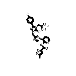 Cc1cc(C(=O)Nc2ncccc2-n2cnc(Cn3nc(-c4ccc(Cl)cc4)n(C[C@H](O)C(F)(F)F)c3=O)n2)on1